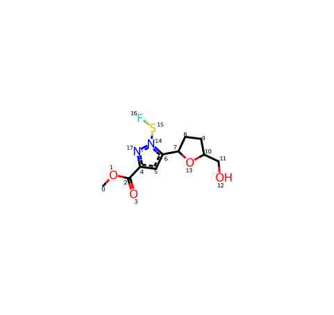 COC(=O)c1cc(C2CCC(CO)O2)n(SF)n1